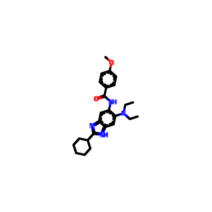 CCN(CC)c1cc2[nH]c(C3CCCCC3)nc2cc1NC(=O)c1ccc(OC)cc1